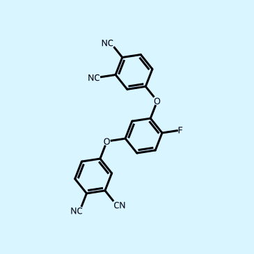 N#Cc1ccc(Oc2ccc(F)c(Oc3ccc(C#N)c(C#N)c3)c2)cc1C#N